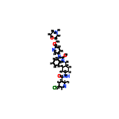 Cc1ncc(Cl)cc1C(=O)NC1CCC(Cn2c(=O)n(-c3ccc(OC[C@H]4CN(C)CCO4)nc3)c3ccccc32)CC1